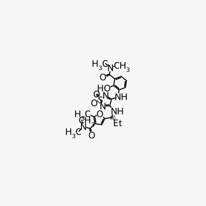 CC[C@@H](NC1=NS(=O)(=O)N=C1Nc1cccc(C(=O)N(C)C)c1O)c1cc(C(=O)N(C)C)c(C)o1